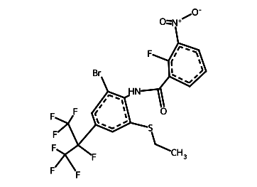 CCSc1cc(C(F)(C(F)(F)F)C(F)(F)F)cc(Br)c1NC(=O)c1cccc([N+](=O)[O-])c1F